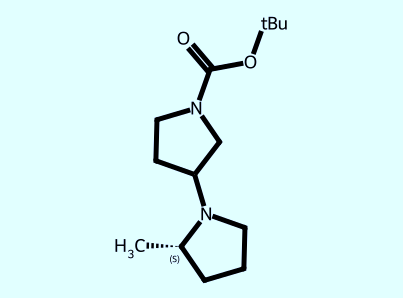 C[C@H]1CCCN1C1CCN(C(=O)OC(C)(C)C)C1